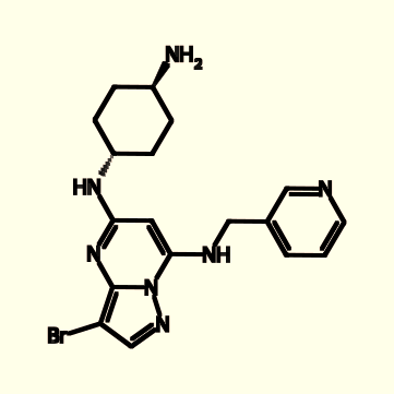 N[C@H]1CC[C@H](Nc2cc(NCc3cccnc3)n3ncc(Br)c3n2)CC1